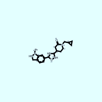 CC(C)N1NCc2ccc(C3NC(C4CCN(CC5CC5)C(=O)C4)NO3)cc21